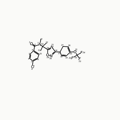 CN(C(=O)c1ccc(Cl)cc1)C(C)(C)c1nc(C2C=CC(OC(F)(F)F)=CC2)no1